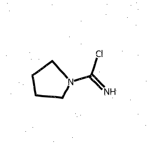 N=C(Cl)N1CCCC1